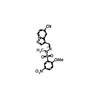 COc1ccc([N+](=O)[O-])cc1S(=O)(=O)N(C)/N=C\c1cnn2ccc(C#N)cc12